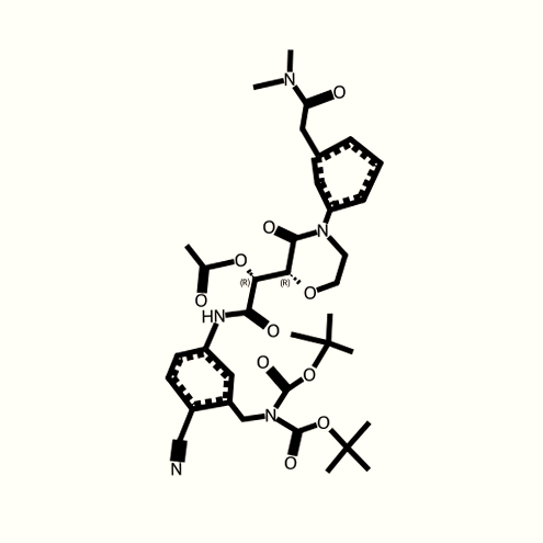 CC(=O)O[C@@H](C(=O)Nc1ccc(C#N)c(CN(C(=O)OC(C)(C)C)C(=O)OC(C)(C)C)c1)[C@H]1OCCN(c2cccc(CC(=O)N(C)C)c2)C1=O